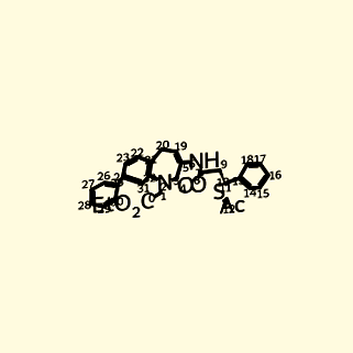 CCOC(=O)CN1C(=O)C(NC(=O)C[C@H](SC(C)=O)c2ccccc2)=CCc2ccc(-c3ccccc3)cc21